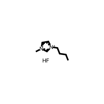 CCCC[n+]1ccn(C)c1.F